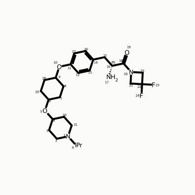 CC(C)N1CCC(OC2CCC(Oc3ccc(C[C@@H](N)C(=O)N4CC(F)(F)C4)cc3)CC2)CC1